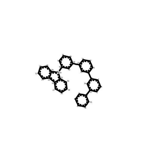 c1ccc(-c2cccc(-c3cccc(-c4cccc(-n5c6ccccc6c6ccccc65)c4)c3)c2)cc1